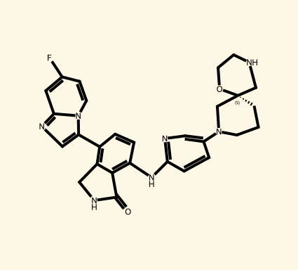 O=C1NCc2c(-c3cnc4cc(F)ccn34)ccc(Nc3ccc(N4CCC[C@]5(CNCCO5)C4)cn3)c21